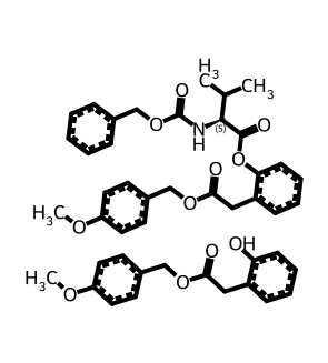 COc1ccc(COC(=O)Cc2ccccc2O)cc1.COc1ccc(COC(=O)Cc2ccccc2OC(=O)[C@@H](NC(=O)OCc2ccccc2)C(C)C)cc1